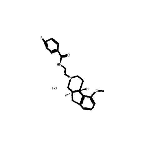 COc1cccc2c1[C@H]1CCN(CCNC(=O)c3ccc(F)cc3)C[C@@H]1C2.Cl